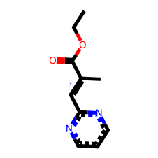 CCOC(=O)/C(C)=C/c1ncccn1